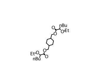 CCCCC(OCC)C(=O)OCC1CCC(COC(=O)C(CCCC)OCC)CC1